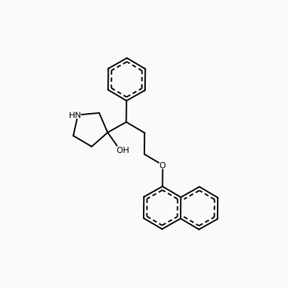 OC1(C(CCOc2cccc3ccccc23)c2ccccc2)CCNC1